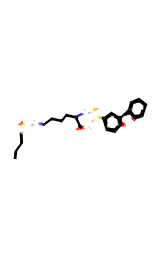 CCCCS(=O)(=O)NCCCCC(NS(=O)(=O)c1ccc2oc3ccccc3c2c1)C(=O)O